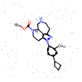 CC(=O)Oc1cc(C2CCC2)ccc1-n1nc2c3c1CCN(C(=O)OC(C)(C)C)[C@H]3CNCC2